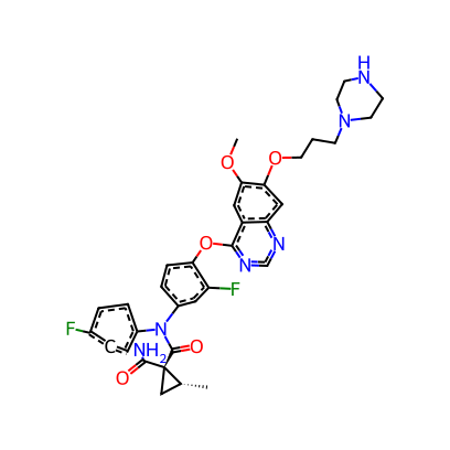 COc1cc2c(Oc3ccc(N(C(=O)[C@]4(C(N)=O)C[C@H]4C)c4ccc(F)cc4)cc3F)ncnc2cc1OCCCN1CCNCC1